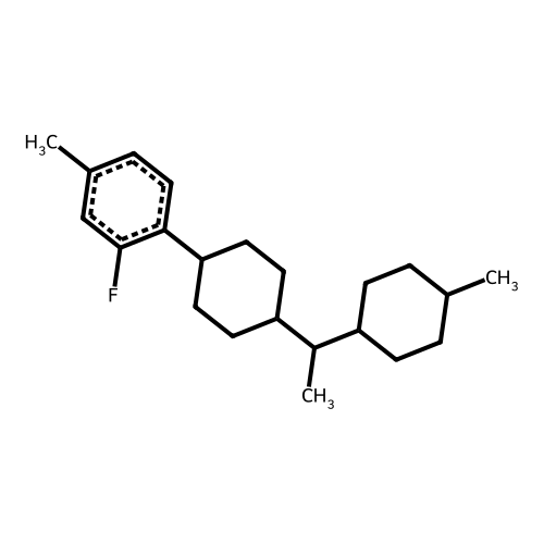 Cc1ccc(C2CCC(C(C)C3CCC(C)CC3)CC2)c(F)c1